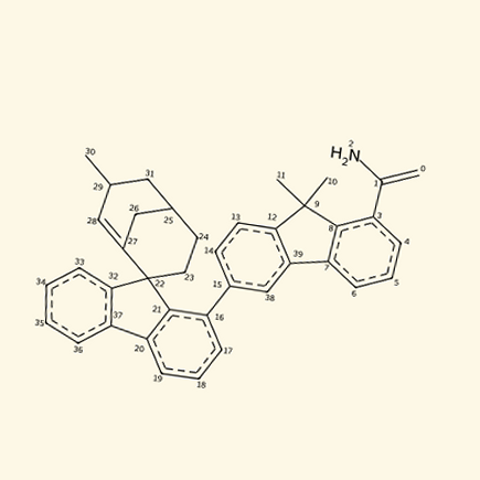 C=C(N)c1cccc2c1C(C)(C)c1ccc(-c3cccc4c3C3(CCC5CC3=CC(C)C5)c3ccccc3-4)cc1-2